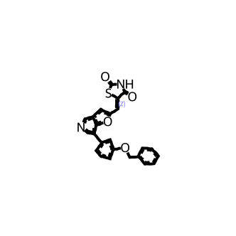 O=C1NC(=O)/C(=C/c2cc3cncc(-c4cccc(OCc5ccccc5)c4)c3o2)S1